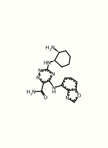 NC(=O)c1nnc(N[C@@H]2CCCC[C@@H]2N)nc1Nc1cccc2ocnc12